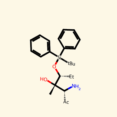 CC[C@@H](O[Si](c1ccccc1)(c1ccccc1)C(C)(C)C)[C@@](C)(O)[C@H](N)C(C)=O